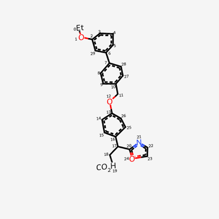 CCOc1cccc(-c2ccc(COc3ccc(C(CC(=O)O)c4ncco4)cc3)cc2)c1